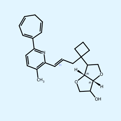 Cc1ccc(C2=CC=CCC=C2)nc1/C=C/CC1(C2CO[C@@H]3C(O)CO[C@H]23)CCC1